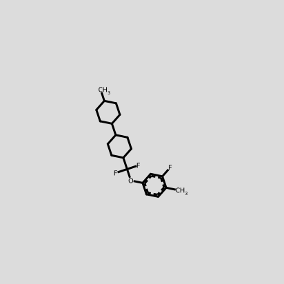 Cc1ccc(OC(F)(F)C2CCC(C3CCC(C)CC3)CC2)cc1F